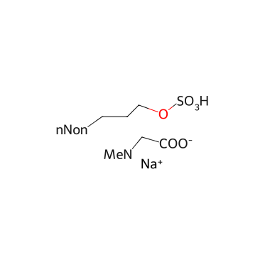 CCCCCCCCCCCCOS(=O)(=O)O.CNCC(=O)[O-].[Na+]